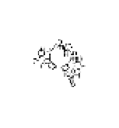 CCn1c(-c2cnccc2COC)c2c3cc(ccc31)-c1cc(O)cc(c1)C[C@H](NC(=O)[C@H](C(C)C)N(C)C(=O)CN(C)C(=O)[C@@H]1CN1OC)C(=O)N1CCC[C@H](N1)C(=O)OCC(C)(C)C2